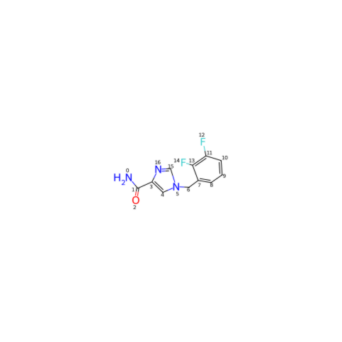 NC(=O)c1cn(Cc2cccc(F)c2F)cn1